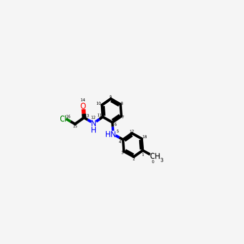 Cc1ccc(Nc2ccccc2NC(=O)CCl)cc1